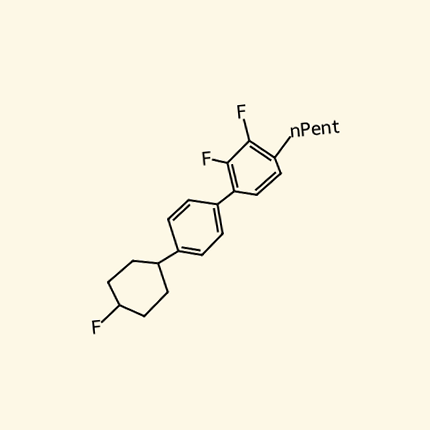 CCCCCc1ccc(-c2ccc(C3CCC(F)CC3)cc2)c(F)c1F